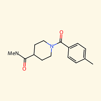 CNC(=O)C1CCN(C(=O)c2ccc(C)cc2)CC1